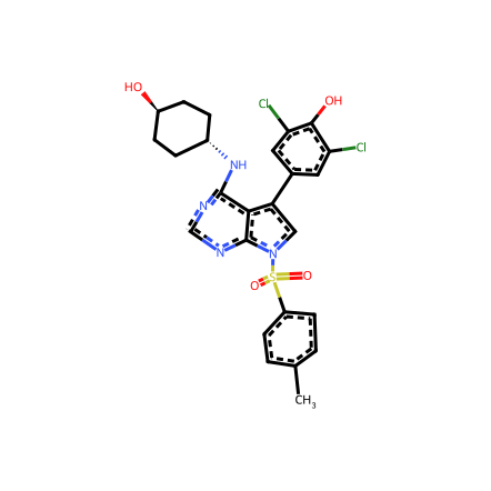 Cc1ccc(S(=O)(=O)n2cc(-c3cc(Cl)c(O)c(Cl)c3)c3c(N[C@H]4CC[C@H](O)CC4)ncnc32)cc1